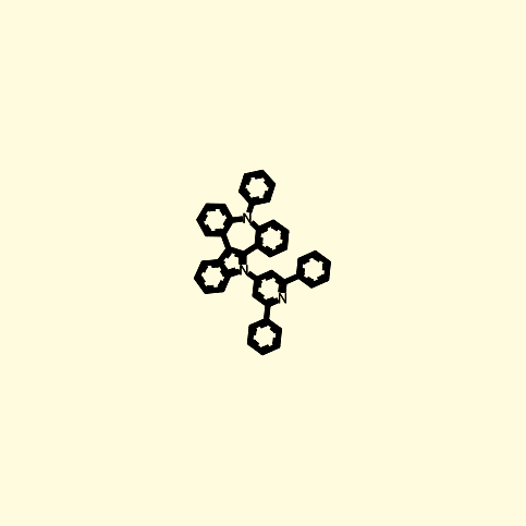 c1ccc(-c2cc(-n3c4c(c5ccccc53)-c3ccccc3N(c3ccccc3)c3ccccc3-4)cc(-c3ccccc3)n2)cc1